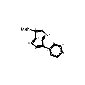 CNC1=C/N=C/C(c2ccccc2)=C\C=C\1